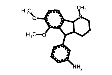 COc1ccc2c(c1OC)C(c1cccc(N)c1)C1CCCN(C)C21